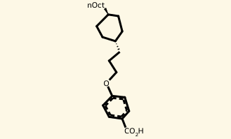 CCCCCCCC[C@H]1CC[C@H](CCCOc2ccc(C(=O)O)cc2)CC1